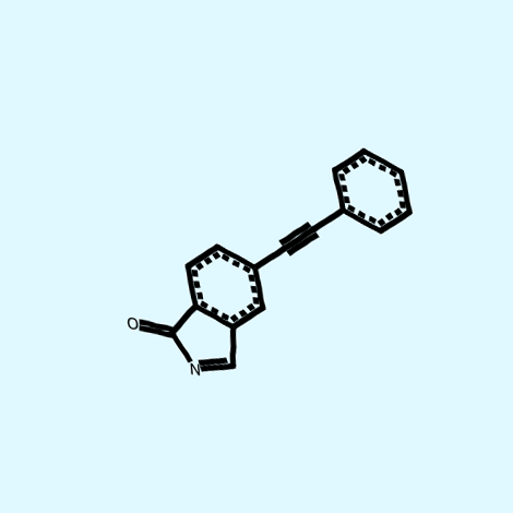 O=C1N=Cc2cc(C#Cc3ccccc3)ccc21